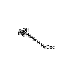 CCCCCCCCCCCCCCCCCCCCCCCCCCCCCCN(C(O)CC)C(O)CC